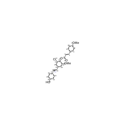 COc1ccc(C=CC(=O)Oc2c(Cl)cc(/C=N/c3ccc(O)cc3)cc2OC)cc1